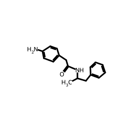 CC(Cc1ccccc1)NC(=O)Cc1ccc(N)cc1